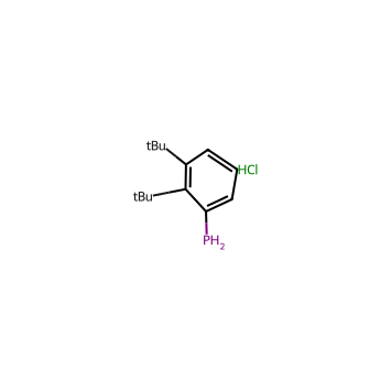 CC(C)(C)c1cccc(P)c1C(C)(C)C.Cl